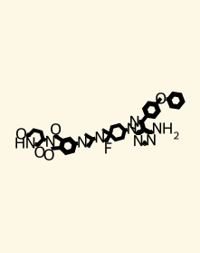 Nc1ncnc2c1c(-c1ccc(Oc3ccccc3)cc1)nn2C1CCC2(CC1)CN(C1CN(c3ccc4c(c3)C(=O)N(C3CCC(=O)NC3=O)C4=O)C1)C2F